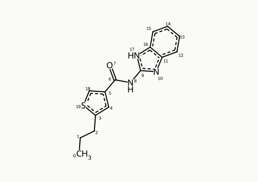 CCCc1cc(C(=O)Nc2nc3ccccc3[nH]2)cs1